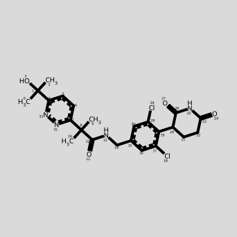 CC(C)(O)c1ccc(C(C)(C)C(=O)NCc2cc(Cl)c(C3CCC(=O)NC3=O)c(Cl)c2)nn1